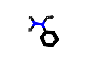 CCN(CC)N([C]=O)c1ccccc1